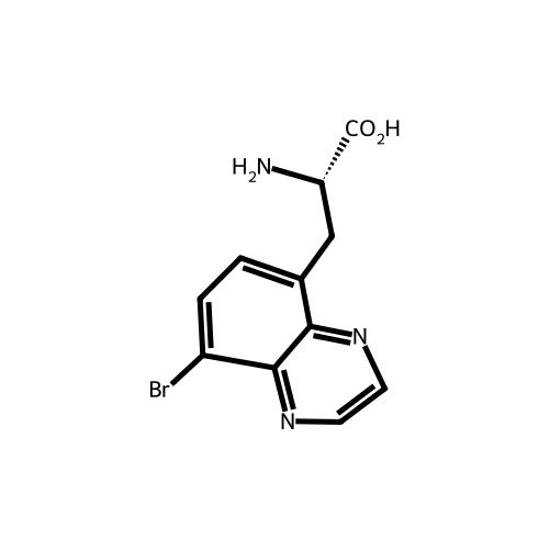 N[C@@H](Cc1ccc(Br)c2nccnc12)C(=O)O